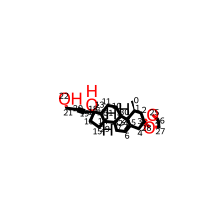 C[C@H]1CC2(CC3=CC[C@@H]4[C@H](CC[C@@]5(C)[C@H]4CC[C@@]5(O)C#CCO)[C@]31C)OCCO2